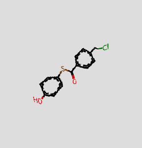 O=C(Sc1ccc(O)cc1)c1ccc(CCl)cc1